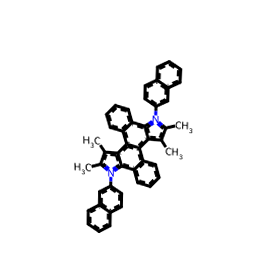 Cc1c(C)n(-c2ccc3ccccc3c2)c2c3ccccc3c3c4c(C)c(C)n(-c5ccc6ccccc6c5)c4c4ccccc4c3c12